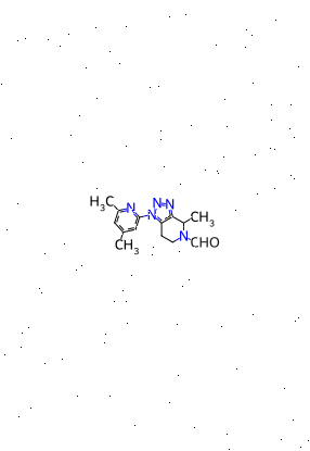 Cc1cc(C)nc(-n2nnc3c2CCN(C=O)C3C)c1